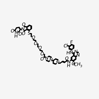 COc1cc2ncnc(Nc3ccc(F)c(Cl)c3)c2cc1NC(=O)/C=C/CN1CCC(N2CCN(C(=O)COCCOCCOCCOCCSc3cccc4c3C(=O)N(C3CCC(=O)NC3=O)C4=O)CC2)CC1